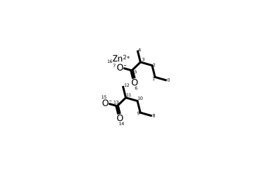 CCCC(C)C(=O)[O-].CCCC(C)C(=O)[O-].[Zn+2]